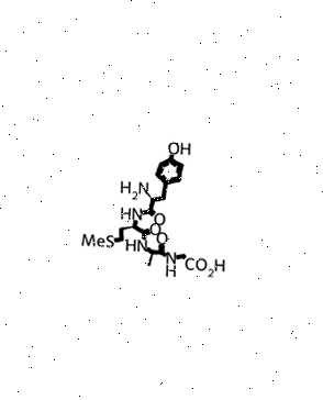 CSCC[C@@H](NC(=O)[C@H](N)Cc1ccc(O)cc1)C(=O)N[C@H](C)C(=O)NCC(=O)O